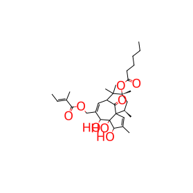 C/C=C(\C)C(=O)OCC1=CC2C(=O)C3(C=C(C)C(O)C3(O)C1O)[C@H](C)C[C@@](C)(OC(=O)CCCCC)C2(C)C